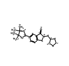 CC1(C)OB(c2ccc3c(c2)C(=O)N(CC2CCCO2)C3)OC1(C)C